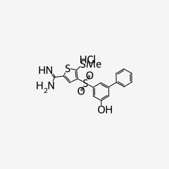 CSc1sc(C(=N)N)cc1S(=O)(=O)c1cc(O)cc(-c2ccccc2)c1.Cl